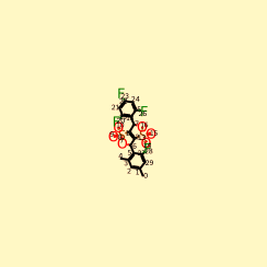 Cc1cc(C)c(C2OS(=O)(=O)C3=C2S(=O)(=O)OC3c2c(F)cc(F)cc2F)c(F)c1